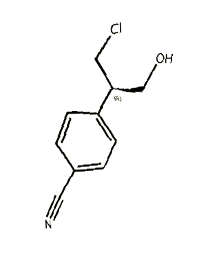 N#Cc1ccc([C@H](CO)CCl)cc1